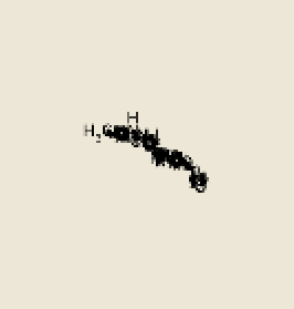 CCc1ccc(NC(=O)Nc2ccc(-c3cn(-c4ccc(OCCN5CCOCC5)cc4)nn3)cc2)cc1